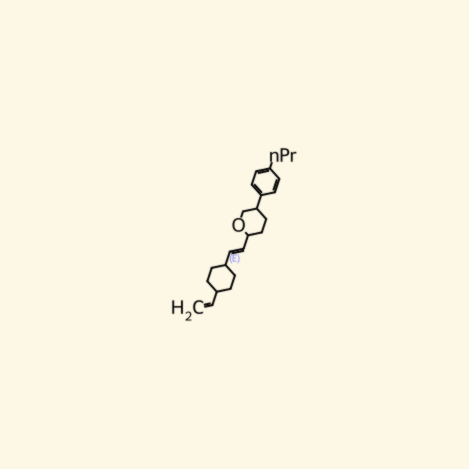 C=CC1CCC(/C=C/C2CCC(c3ccc(CCC)cc3)CO2)CC1